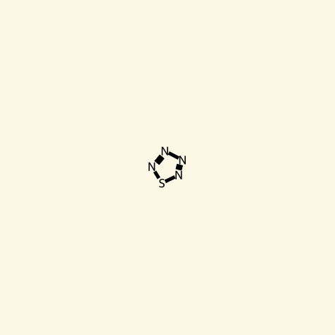 n1nnsn1